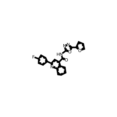 O=C(Nc1nnc(-c2ccco2)o1)c1cc(-c2ccc(F)cc2)nc2ccccc12